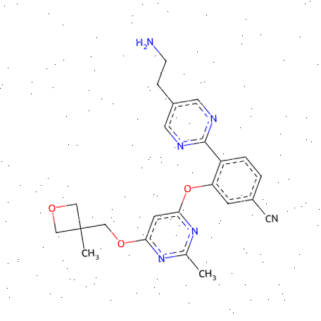 Cc1nc(OCC2(C)COC2)cc(Oc2cc(C#N)ccc2-c2ncc(CCN)cn2)n1